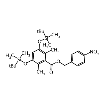 Cc1c(O[Si](C)(C)C(C)(C)C)cc(O[Si](C)(C)C(C)(C)C)c(C)c1C(=O)OCc1ccc([N+](=O)[O-])cc1